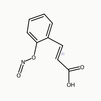 O=NOc1ccccc1/C=C/C(=O)O